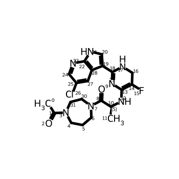 CC(=O)N1CCCN(C(=O)[C@H](C)NC2=C(F)CNC(c3c[nH]c4ncc(Cl)cc34)=N2)CC1